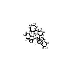 O=S(=O)(Nc1cccc2c3c(n(Cc4ccccc4C(F)(F)F)c12)CCCCC3)c1ccccc1